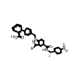 C[C@H](NC(=O)c1ccc2c(c1)c(Br)nn2Cc1ccc(-c2ccccc2C(=O)O)cc1)c1ccc([N+](=O)[O-])cc1